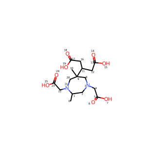 CC1CN(CC(=O)O)CC(C)(C(CC(=O)O)CC(=O)O)CN1CC(=O)O